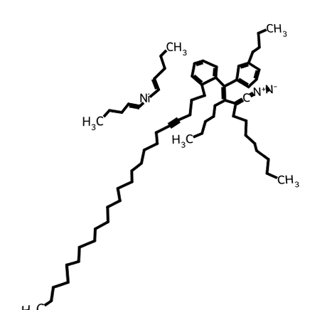 CCCC=[CH][Ni][CH]=CCCC.CCCCCCCCCCCCCCCCCCCC#CCCCc1ccccc1C(=C(CCCCC)C(=C=[N+]=[N-])CCCCCCCC)c1cccc(CCCC)c1